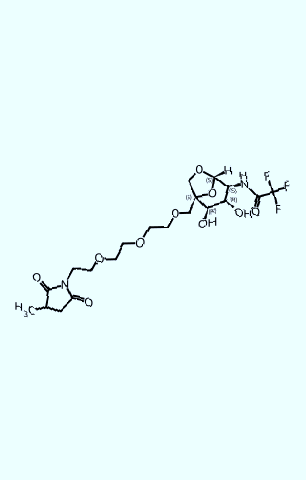 CC1CC(=O)N(CCOCCOCCOC[C@@]23CO[C@@H](O2)[C@@H](NC(=O)C(F)(F)F)[C@@H](O)[C@H]3O)C1=O